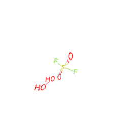 O=S(=O)(F)F.OO